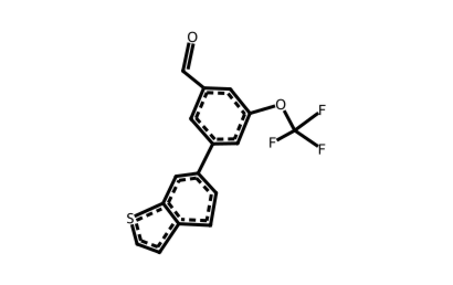 O=Cc1cc(OC(F)(F)F)cc(-c2ccc3ccsc3c2)c1